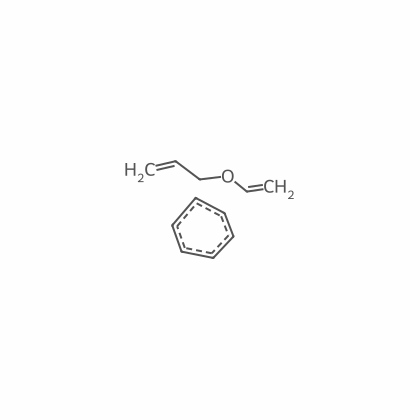 C=CCOC=C.c1ccccc1